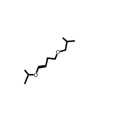 CC(C)COCC/C=C/OC(C)C